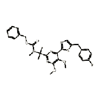 COc1nc(C(C)(C)N(C)C(=O)OCc2ccccc2)nc(-c2ncc(Cc3ccc(F)cc3)s2)c1OC